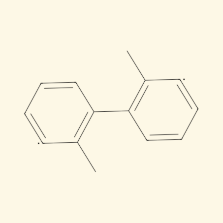 Cc1[c]cccc1-c1ccc[c]c1C